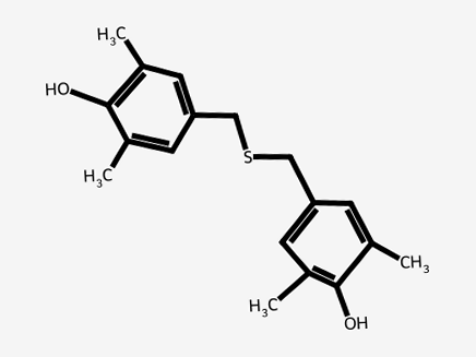 Cc1cc(CSCc2cc(C)c(O)c(C)c2)cc(C)c1O